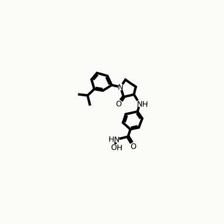 CC(C)c1cccc(N2CCC(Nc3ccc(C(=O)NO)cc3)C2=O)c1